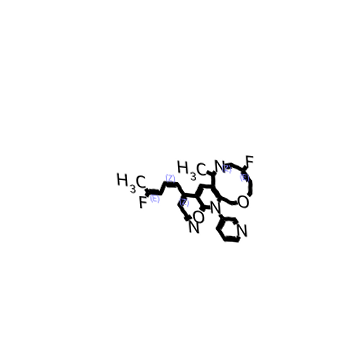 C\C(F)=C/C=C\C(=C\C#N)c1cc2c(n(-c3cccnc3)c1=O)COC/C=C(F)\C=N/C2C